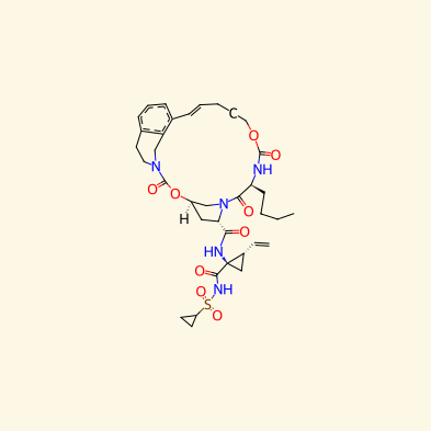 C=C[C@@H]1C[C@]1(NC(=O)[C@@H]1C[C@@H]2CN1C(=O)[C@H](CCCC)NC(=O)OCCC/C=C/c1cccc3c1CN(CC3)C(=O)O2)C(=O)NS(=O)(=O)C1CC1